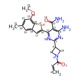 C=CC(=O)N1CC(c2nc(N)c(C(N)=O)c(-c3cc4cc(C)cc(OC)c4s3)n2)C1